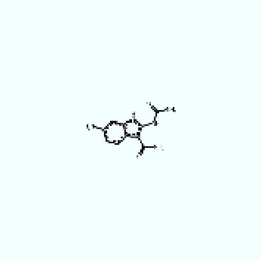 NC(=O)Nc1[nH]c2cc(N)ccc2c1C(N)=O